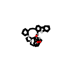 CN1C=CN2c3c(ccc4c3oc3ccccc34)CCc3ccccc3N3C=CN4CCCN5C=CN6c7ccccc7C(C12)(C43)C56